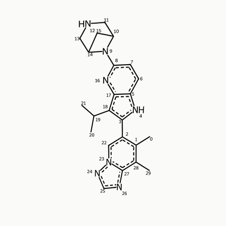 Cc1c(-c2[nH]c3ccc(N4C5CNCC4C5)nc3c2C(C)C)cn2ncnc2c1C